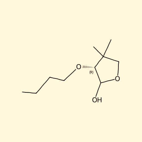 CCCCO[C@H]1C(O)OCC1(C)C